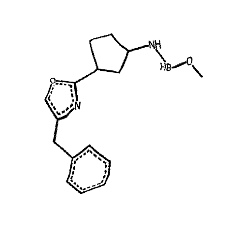 COBNC1CCC(c2nc(Cc3ccccc3)co2)C1